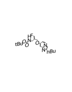 CCCCc1cn2ccc(OC/C(=C/F)CNC(=O)OC(C)(C)C)cc2n1